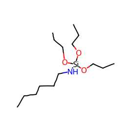 CCCCCCN[Si](OCCC)(OCCC)OCCC